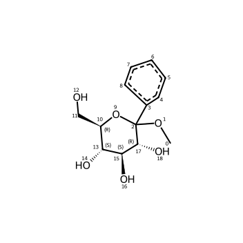 COC1(c2ccccc2)O[C@H](CO)[C@@H](O)[C@H](O)[C@H]1O